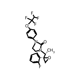 C[C@@H](N1CCN(c2ccc(OC(F)(F)C(F)F)cc2)C1=O)[C@]1(c2ccccc2F)CO1